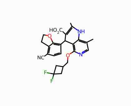 CC1=C(C(=O)O)C(c2ccc(C#N)c3c2OCC3)c2c(OCC3CC(F)(F)C3)ncc(C)c2N1